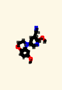 COc1ccc2c(c1)N(c1cnc(OC)c(C#N)c1)CCO2